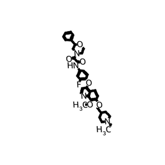 CCN1CCC(COc2ccc3c(Oc4ccc(NC(=O)C(=O)N5CCOC(c6ccccc6)C5)cc4F)ccnc3c2OC)CC1